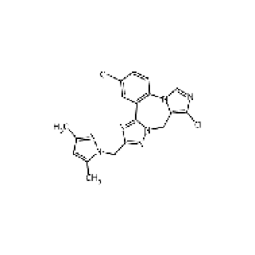 Cc1cc(C)n(Cc2nc3n(n2)Cc2c(Cl)ncn2-c2ccc(Cl)cc2-3)n1